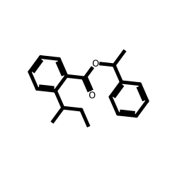 CCC(C)c1ccccc1C(=O)OC(C)c1ccccc1